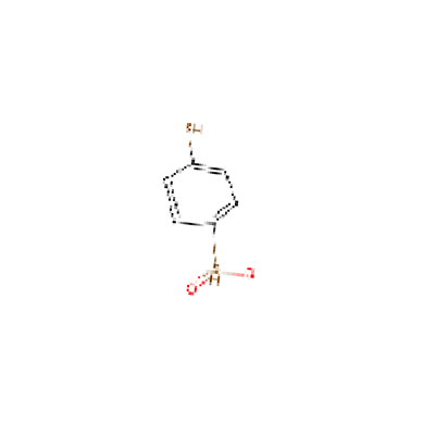 O=[SH](=O)c1ccc(S)cc1